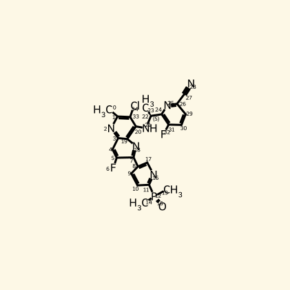 Cc1nc2cc(F)c(-c3ccc(P(C)(C)=O)nc3)nc2c(N[C@@H](C)c2nc(C#N)ccc2F)c1Cl